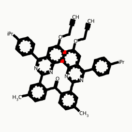 C#CCOc1ccc2nc(-c3cc(C)ccc3C(=O)c3ccc(C)cc3-c3nc(-c4ccc(C(C)C)cc4)c4cc(OCC#C)ccc4n3)nc(-c3ccc(C(C)C)cc3)c2c1